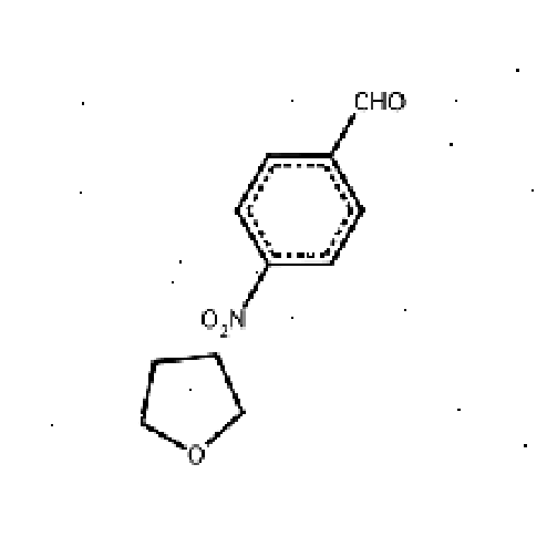 C1CCOC1.O=Cc1ccc([N+](=O)[O-])cc1